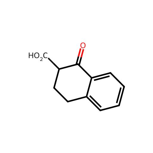 O=C(O)C1CCc2ccccc2C1=O